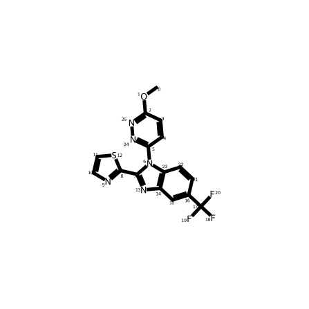 COc1ccc(-n2c(-c3nccs3)nc3cc(C(F)(F)F)ccc32)nn1